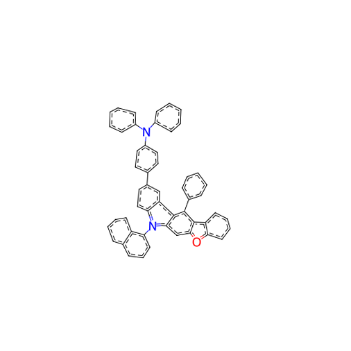 c1ccc(-c2c3c(cc4c2c2cc(-c5ccc(N(c6ccccc6)c6ccccc6)cc5)ccc2n4-c2cccc4ccccc24)oc2ccccc23)cc1